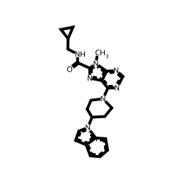 Cn1c(C(=O)NCC2CC2)nc2c(N3CCC(n4ccc5ccccc54)CC3)ncnc21